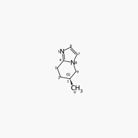 C[C@H]1CCc2nccn2C1